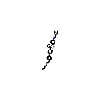 CCCCCCc1ccc(C2CCC(C(=O)OC3CCC(/C=C/C#N)CC3)CC2)cc1